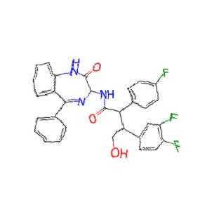 O=C1Nc2ccccc2C(c2ccccc2)=NC1NC(=O)C(c1ccc(F)cc1)C(CO)c1ccc(F)c(F)c1